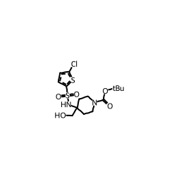 CC(C)(C)OC(=O)N1CCC(CO)(NS(=O)(=O)c2ccc(Cl)s2)CC1